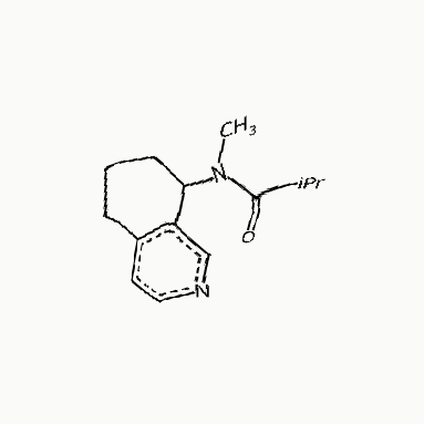 CC(C)C(=O)N(C)C1CCCc2ccncc21